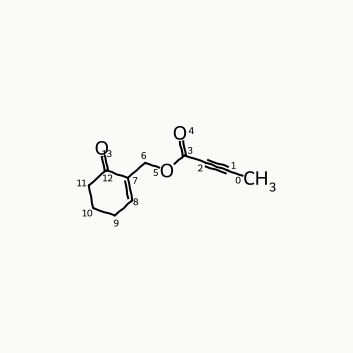 CC#CC(=O)OCC1=CCCCC1=O